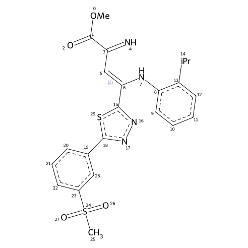 COC(=O)C(=N)/C=C(\Nc1ccccc1C(C)C)c1nnc(-c2cccc(S(C)(=O)=O)c2)s1